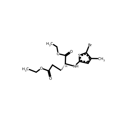 CCOC(=O)CC[C@@H](Nc1cc(C)c(Br)s1)C(=O)OCC